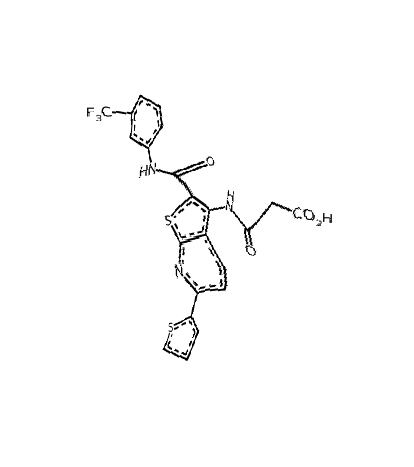 O=C(O)CC(=O)Nc1c(C(=O)Nc2cccc(C(F)(F)F)c2)sc2nc(-c3cccs3)ccc12